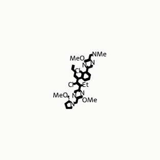 C=CCC=C(/C(Cl)=C(\CC)c1cnc(CN2CCC[C@@H]2COC)c(OC)n1)c1cccc(-c2cnc(CNC)c(OC)n2)c1Cl